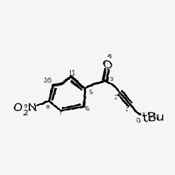 CC(C)(C)C#CC(=O)c1ccc([N+](=O)[O-])cc1